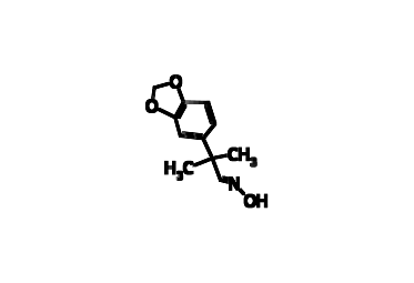 CC(C)(C=NO)c1ccc2c(c1)OCO2